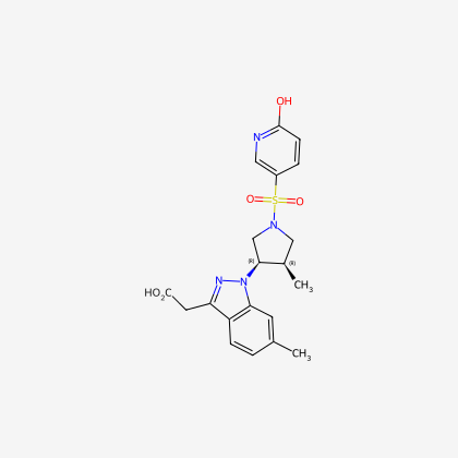 Cc1ccc2c(CC(=O)O)nn([C@H]3CN(S(=O)(=O)c4ccc(O)nc4)C[C@H]3C)c2c1